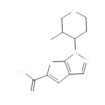 CC1COCCC1n1ncc2cc(C(=O)O)sc21